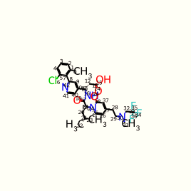 Cc1cccc(Cl)c1-c1cc([C@H](CC(=O)O)NC(=O)[C@H](CC(C)C)n2ccc(CCN(C)CC(F)(F)F)cc2=O)ccn1